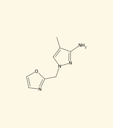 Cc1cn(Cc2ncco2)nc1N